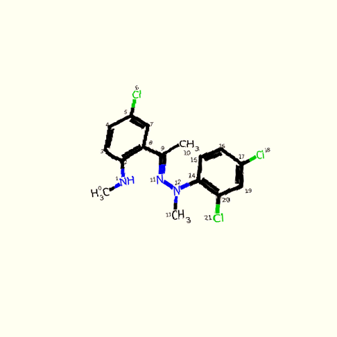 CNc1ccc(Cl)cc1/C(C)=N/N(C)c1ccc(Cl)cc1Cl